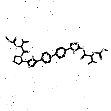 COC(=O)NC(C(=O)Nc1ncc(-c2ccc(-c3ccc(-c4cnc(C5CCCN5C(=O)C(NC(=O)OC)C(C)C)[nH]4)cc3)cc2)[nH]1)C(C)C